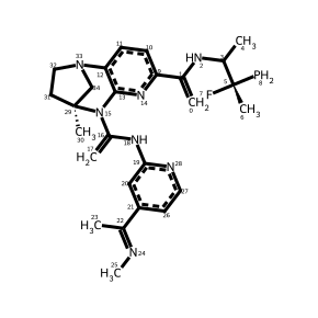 C=C(NC(C)[C@@](C)(F)P)c1ccc2c(n1)N(C(=C)Nc1cc(/C(C)=N/C)ccn1)[C@@]1(C)CCN2C1